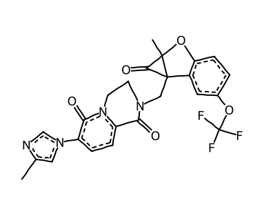 Cc1cn(-c2ccc3n(c2=O)CCN(CC24C(=O)C2(C)Oc2ccc(OC(F)(F)F)cc24)C3=O)cn1